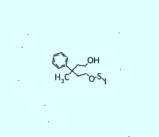 CC(CCO)(CCOSI)c1ccccc1